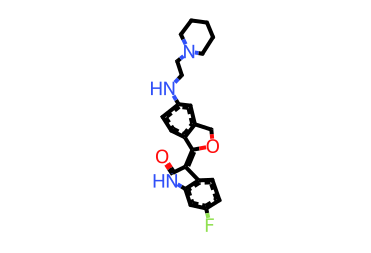 O=C1Nc2cc(F)ccc2C1=C1OCc2cc(NCCN3CCCCC3)ccc21